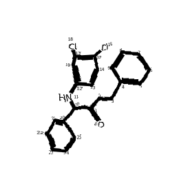 O=C(CCc1ccccc1)C(Nc1ccc(Cl)c(Cl)c1)c1ccccc1